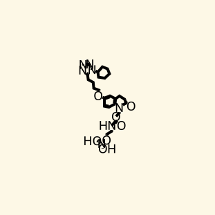 O=C(NCCON(O)O)OCN1C(=O)CCc2cc(OCCCCc3nnnn3C3CCCCC3)ccc21